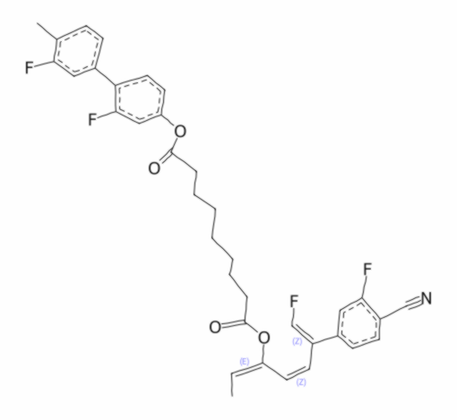 C\C=C(/C=C\C(=C\F)c1ccc(C#N)c(F)c1)OC(=O)CCCCCCCC(=O)Oc1ccc(-c2ccc(C)c(F)c2)c(F)c1